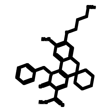 COCCCOc1cc2c(cc1OC)-c1c(cc(C(=O)OC)c(=O)n1Cc1ccccc1)C1(CCCCC1)C2